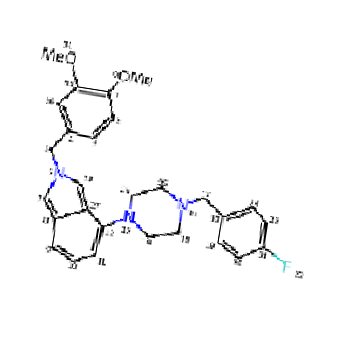 COc1ccc(Cn2cc3cccc(N4CCN(Cc5ccc(F)cc5)CC4)c3c2)cc1OC